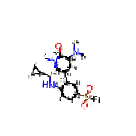 CCS(=O)(=O)c1ccc(NCC2CC2)c(-c2cc(N(C)C)c(=O)n(C)c2)c1